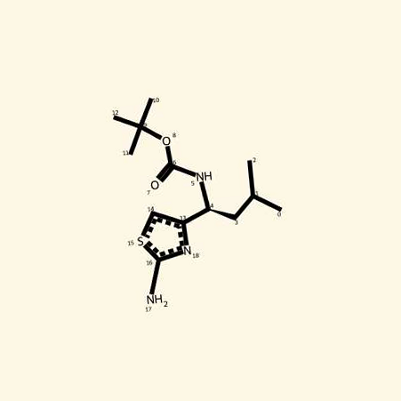 CC(C)C[C@H](NC(=O)OC(C)(C)C)c1csc(N)n1